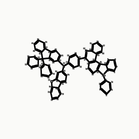 c1ccc(-n2c3ccccc3c3c4c(ccc32)c(-c2ccc(N(c3ccc5c(c3)C(c3ccccc3)(c3ccccc3)c3ccccc3-5)c3ccc5c(c3)oc3ccccc35)cc2)nc2ccccc24)cc1